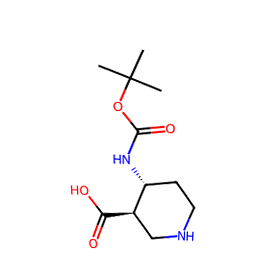 CC(C)(C)OC(=O)N[C@@H]1CCNC[C@H]1C(=O)O